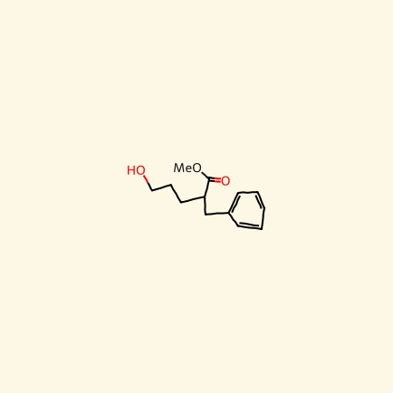 COC(=O)C(CCCO)Cc1ccccc1